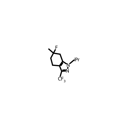 CC(C)n1nc(C(F)(F)F)c2c1CC(C)(F)CC2